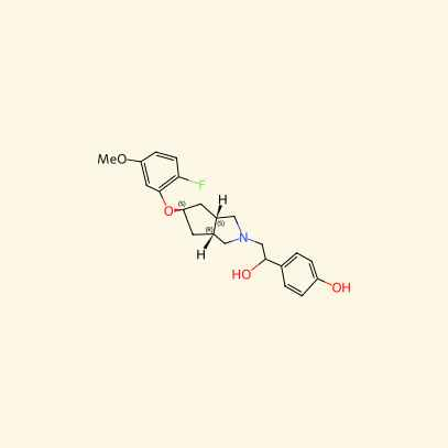 COc1ccc(F)c(O[C@H]2C[C@@H]3CN(CC(O)c4ccc(O)cc4)C[C@@H]3C2)c1